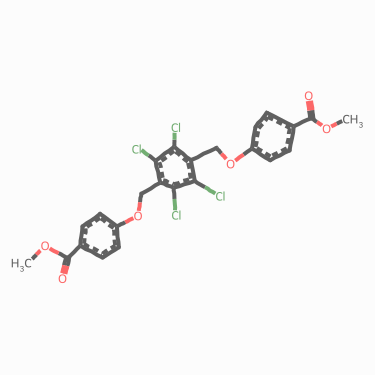 COC(=O)c1ccc(OCc2c(Cl)c(Cl)c(COc3ccc(C(=O)OC)cc3)c(Cl)c2Cl)cc1